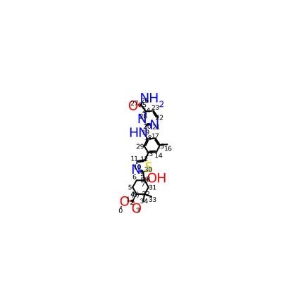 COC(=O)[C@H]1CC[C@](O)(c2ncc(-c3cc(C)cc(Nc4nccc(C(N)=O)n4)c3)s2)CC1(C)C